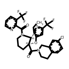 CCC[C@H]1N(C(=O)c2ncccc2C(F)(F)F)CCC[C@]1(Oc1csc(C(F)(F)F)c1)C(=O)N1CCc2ccc(Cl)cc2C1